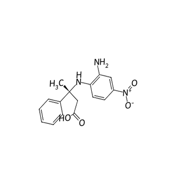 C[C@](CC(=O)O)(Nc1ccc([N+](=O)[O-])cc1N)c1ccccc1